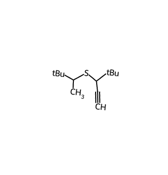 C#CC(SC(C)C(C)(C)C)C(C)(C)C